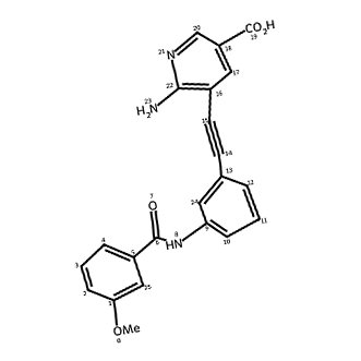 COc1cccc(C(=O)Nc2cccc(C#Cc3cc(C(=O)O)cnc3N)c2)c1